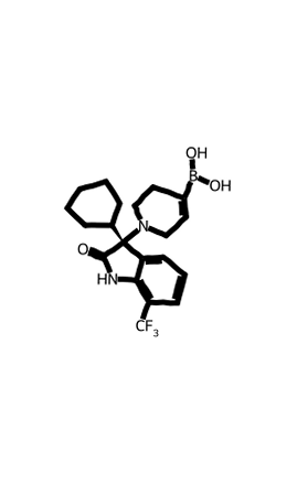 O=C1Nc2c(C(F)(F)F)cccc2[C@@]1(C1CCCCC1)N1CC=C(B(O)O)CC1